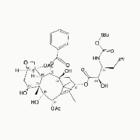 CC(=O)O[C@H]1C2=C(C)[C@@H](OC(=O)[C@H](O)[C@H](CC(C)C)NC(=O)OC(C)(C)C)C[C@@](O)([C@@H](OC(=O)c3ccccc3)[C@@H]3[C@]4(OC(C)=O)CO[C@@H]4C[C@H](O)[C@@]3(C)[C@H]1O)C2(C)C